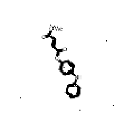 COC(=O)C=CC(=O)Oc1ccc(Nc2ccccc2)cc1